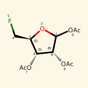 CC(=O)OC1O[C@H](CF)[C@@H](OC(C)=O)[C@H]1OC(C)=O